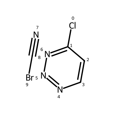 Clc1ccnnn1.N#CBr